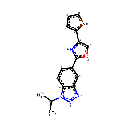 CC(C)n1nnc2cc(-c3nc(-c4cccs4)co3)ccc21